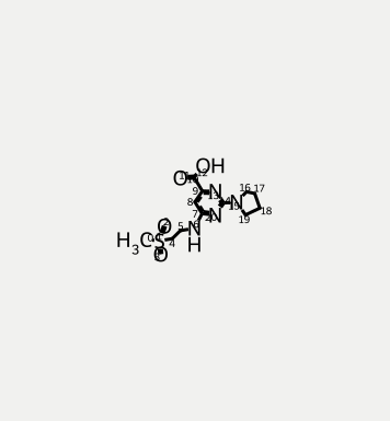 CS(=O)(=O)CCNc1cc(C(=O)O)nc(N2CCCC2)n1